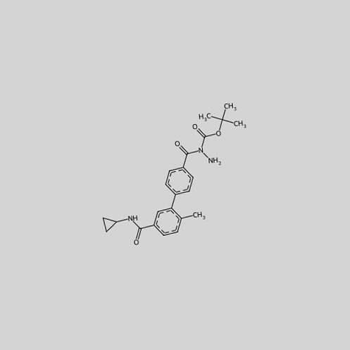 Cc1ccc(C(=O)NC2CC2)cc1-c1ccc(C(=O)N(N)C(=O)OC(C)(C)C)cc1